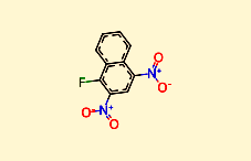 O=[N+]([O-])c1cc([N+](=O)[O-])c2ccccc2c1F